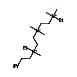 CC[N+](C)(C)CC[N+](C)(C)CC[N+](C)(CC)CCC(C)C